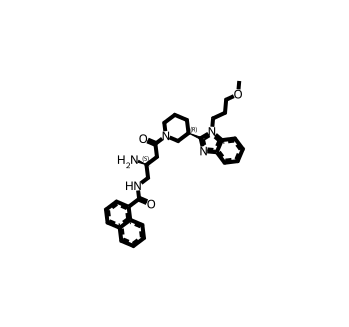 COCCCn1c([C@@H]2CCCN(C(=O)C[C@H](N)CNC(=O)c3cccc4ccccc34)C2)nc2ccccc21